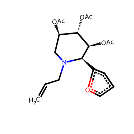 C=CCN1C[C@@H](OC(C)=O)[C@H](OC(C)=O)[C@@H](OC(C)=O)[C@H]1c1ccco1